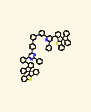 c1ccc(-c2cc(-c3cccc4c3-c3sc5ccccc5c3C43c4ccccc4-c4ccccc43)cc(-c3cccc(-c4cccc(-c5ccc(-c6cc(-c7ccccc7-c7cccc8c7-c7ccccc7C87c8ccccc8-c8sc9ccccc9c87)nc(-c7ccccc7)n6)cc5)c4)c3)n2)cc1